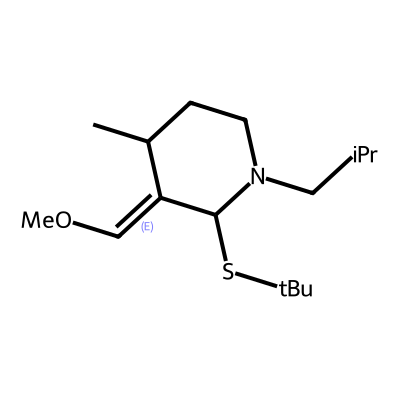 CO/C=C1\C(C)CCN(CC(C)C)C1SC(C)(C)C